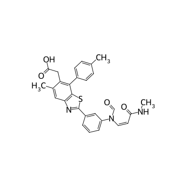 CNC(=O)/C=C\N(C=O)c1cccc(-c2nc3cc(C)c(CC(=O)O)c(-c4ccc(C)cc4)c3s2)c1